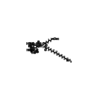 CCCCCCCCCCCCCCCC(=O)O[C@H](COC(=O)CCCCCCCCCCCCCCCN)COP(=O)(O)OC1C(O)[C@H](OP(=O)(O)O)C(OP(=O)(O)O)[C@H](OP(=O)(O)O)[C@@H]1O